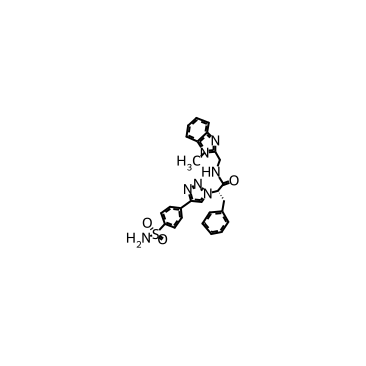 Cn1c(CNC(=O)[C@H](Cc2ccccc2)n2cc(-c3ccc(S(N)(=O)=O)cc3)nn2)nc2ccccc21